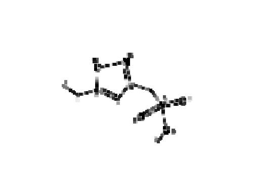 CCc1cc(CS(=O)(=O)OC)no1